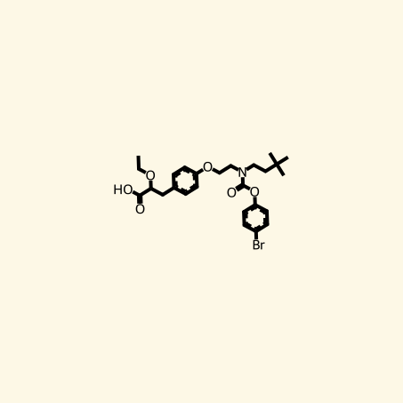 CCOC(Cc1ccc(OCCN(CCC(C)(C)C)C(=O)Oc2ccc(Br)cc2)cc1)C(=O)O